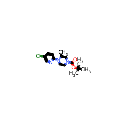 CC1CN(C(=O)OC(C)(C)C)CCN1c1ccc(Cl)cn1